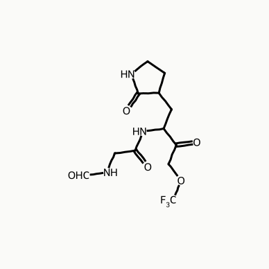 O=CNCC(=O)NC(CC1CCNC1=O)C(=O)COC(F)(F)F